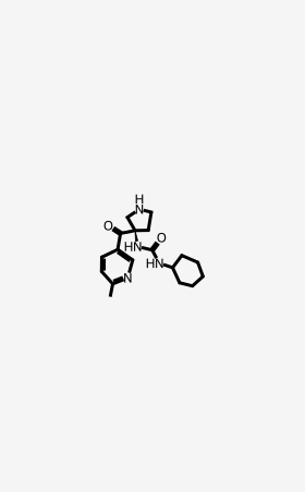 Cc1ccc(C(=O)[C@@]2(NC(=O)NC3CCCCC3)CCNC2)cn1